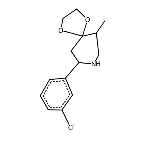 CC1CNC(c2cccc(Cl)c2)CC12OCCO2